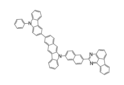 c1ccc(-n2c3ccccc3c3cc(-c4ccc5cc6c(cc5c4)c4ccccc4n6-c4ccc5cc(-c6nc7c8c(cccc8n6)-c6ccccc6-7)ccc5c4)ccc32)cc1